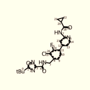 CC(C)(C)c1nc(C(=O)NCc2ccc(-c3ccnc(NC(=O)C4CC4)c3)c(F)c2Cl)no1